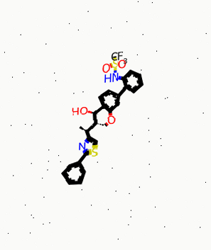 C[C@H](c1csc(-c2ccccc2)n1)[C@H]1COc2cc(-c3ccccc3NS(=O)(=O)C(F)(F)F)ccc2[C@@H]1O